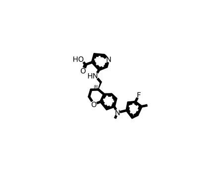 Cc1ccc(N(C)c2ccc3c(c2)OCC[C@H]3CNc2cnccc2C(=O)O)cc1F